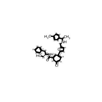 Cc1ccc(C(C)NCc2ccc(C3=CC=C(Cl)CC(C(=O)N[C@@H](CO)Cc4ccccc4)=C3)o2)cc1